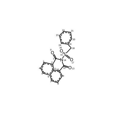 O=C1c2cccc3cccc(c23)C(=O)N1S(=O)(=O)Cc1ccccc1